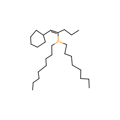 CCCCCCCCP(CCCCCCCC)C(=CC1CCCCC1)CCC